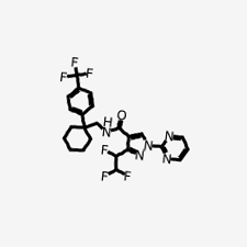 O=C(NCC1(c2ccc(C(F)(F)F)cc2)CCCCC1)c1cn(-c2ncccn2)nc1C(F)C(F)F